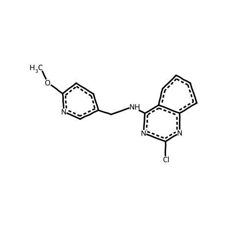 COc1ccc(CNc2nc(Cl)nc3ccccc23)cn1